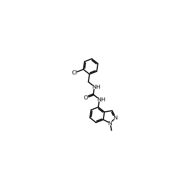 Cn1ncc2c(NC(=O)NCc3ccccc3Cl)cccc21